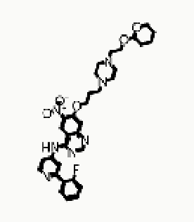 O=[N+]([O-])c1cc2c(Nc3ccnc(-c4ccccc4F)c3)ncnc2cc1OCCCN1CCN(CCOC2CCCCO2)CC1